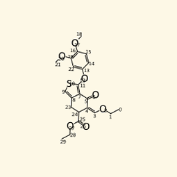 CCO/C=C1\C(=O)c2c(csc2Oc2ccc(OC)c(OC)c2)CC1C(=O)OCC